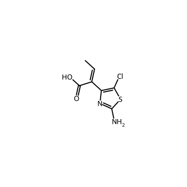 CC=C(C(=O)O)c1nc(N)sc1Cl